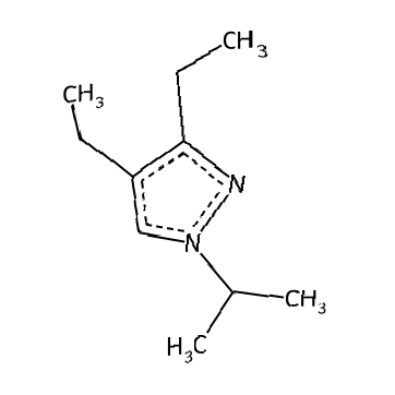 CCc1cn(C(C)C)nc1CC